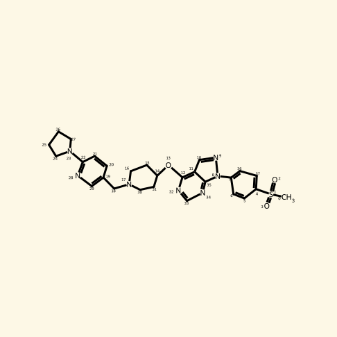 CS(=O)(=O)c1ccc(-n2ncc3c(OC4CCN([CH]c5ccc(N6CCCC6)nc5)CC4)ncnc32)cc1